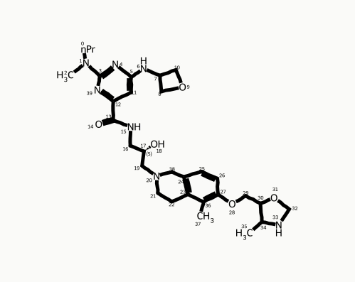 CCCN(C)c1nc(NC2COC2)cc(C(=O)NC[C@H](O)CN2CCc3c(ccc(OCC4OCNC4C)c3C)C2)n1